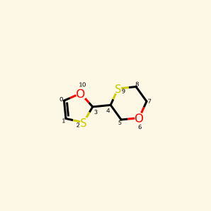 C1=CSC(C2COCCS2)O1